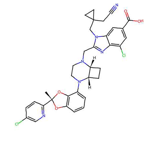 C[C@]1(c2ccc(Cl)cn2)Oc2cccc(N3CCN(Cc4nc5c(Cl)cc(C(=O)O)cc5n4CC4(CC#N)CC4)[C@@H]4CC[C@@H]43)c2O1